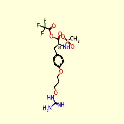 CS(=O)(=O)N[C@@H](Cc1ccc(OCCCONC(=N)N)cc1)C(=O)OC(=O)C(F)(F)F